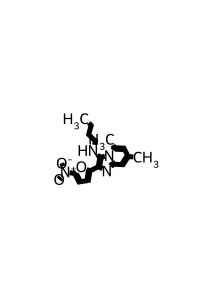 CCCCNc1c(-c2ccc([N+](=O)[O-])o2)nc2cc(C)cc(C)n12